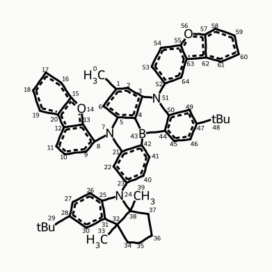 Cc1cc2c3c(c1)N(c1cccc4c1oc1ccccc14)c1cc(N4c5ccc(C(C)(C)C)cc5C5(C)CCCCC45C)ccc1B3c1ccc(C(C)(C)C)cc1N2c1ccc2oc3ccccc3c2c1